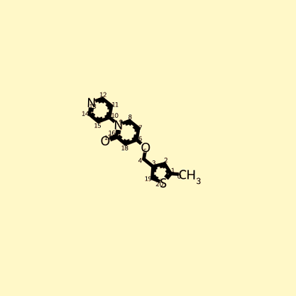 Cc1cc(COc2ccn(-c3ccncc3)c(=O)c2)cs1